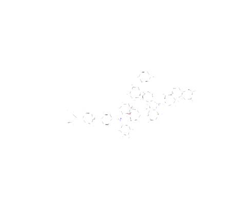 CC1C=CC(c2ccc(-c3ccc(N(c4ccc(-c5ccc(-c6ccccc6)cc5)cc4)c4ccccc4-c4cccc(-c5cccc6c5c5ccccc5n6-c5ccc6c(ccc7ccccc76)c5)c4)cc3)cc2)=CC1